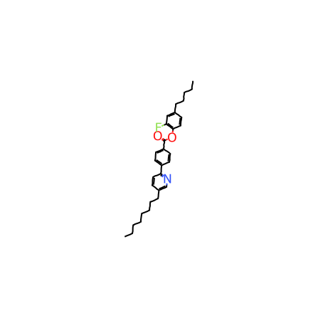 CCCCCCCCc1ccc(-c2ccc(C(=O)Oc3ccc(CCCCC)cc3F)cc2)nc1